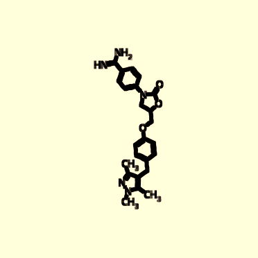 Cc1nn(C)c(C)c1Cc1ccc(OCC2CN(c3ccc(C(=N)N)cc3)C(=O)O2)cc1